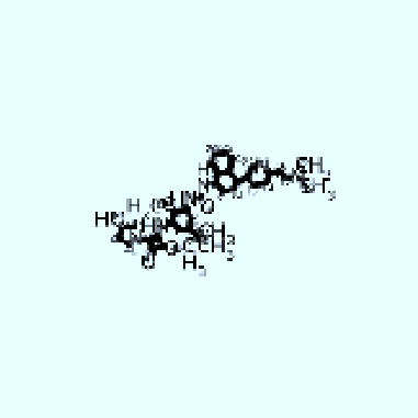 COc1c(NC(=O)Nc2ccc(-c3ccc(CCN(C)C)nc3)c3ccccc23)cc(C(C)(C)C)cc1Nc1c(N2CCC(O)C2)c(=O)c1=O